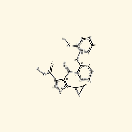 COC(=O)c1noc(C2CC2)c1C(=O)c1ccccc1Cc1ccccc1SC